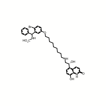 O=C(O)NC(c1ccccc1)c1cc(OCCCCCCCCCNC[C@H](O)c2ccc(O)c3[nH]c(=O)ccc23)ccc1Br